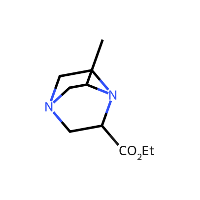 CCOC(=O)C1CN2CCN1C(C)C2